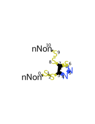 CCCCCCCCCSSc1nnsc1SSCCCCCCCCC